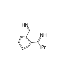 CC(C)C(=N)c1ccccc1C=N